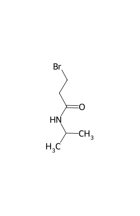 CC(C)NC(=O)CCBr